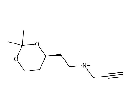 C#CCNCC[C@H]1CCOC(C)(C)O1